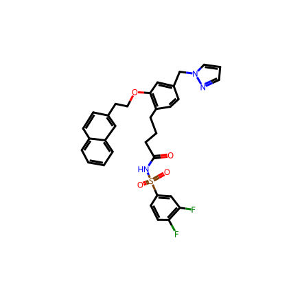 O=C(CCCc1ccc(Cn2cccn2)cc1OCCc1ccc2ccccc2c1)NS(=O)(=O)c1ccc(F)c(F)c1